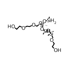 C[SiH2]O[Si@](C)(OCOCCOCCO)O[SiH](C)O[Si](C)(C)COCCO